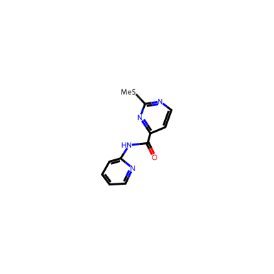 CSc1nccc(C(=O)Nc2ccccn2)n1